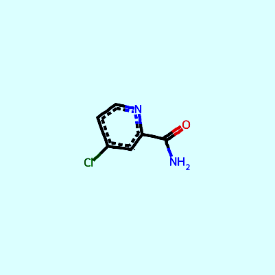 NC(=O)c1[c]c(Cl)ccn1